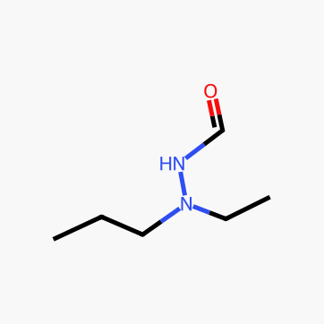 CCCN(CC)NC=O